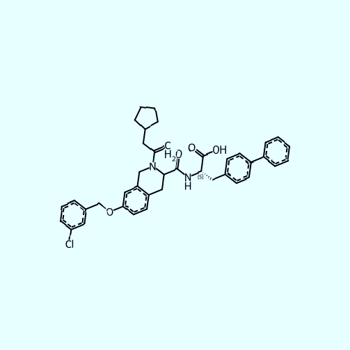 C=C(CC1CCCC1)N1Cc2cc(OCc3cccc(Cl)c3)ccc2CC1C(=O)N[C@@H](Cc1ccc(-c2ccccc2)cc1)C(=O)O